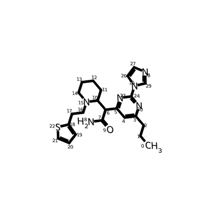 CCCc1cc(C(C(N)=O)C2CCCCN2CCc2cccs2)nc(-n2ccnc2)n1